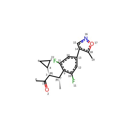 CC(=O)[C@H](C1CC1)[C@@H](C)c1c(F)cc(-c2cnoc2C)cc1F